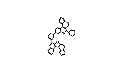 c1ccc(-c2nc3cc(-c4cccc(-c5cc6ccccc6c6c5oc5ccc7ccccc7c56)c4)ccc3c3c2ccc2ccccc23)cc1